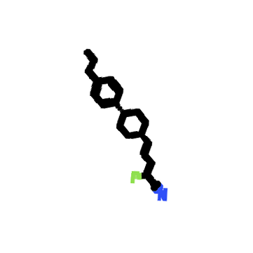 CCCc1ccc([C@H]2CC[C@H](C=CC=C(F)C#N)CC2)cc1